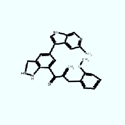 C=C(Cc1ccccc1OC)C(=O)c1cc(-c2c[nH]c3cnc(N)cc23)cc2c1NNC2